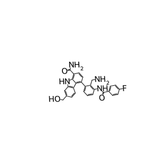 NCc1c(NC(=O)c2ccc(F)cc2)cccc1-c1ccc(C(N)=O)c2[nH]c3cc(CO)ccc3c12